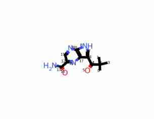 CC(C)(C)C(=O)c1c[nH]c2ncc(C(N)=O)nc12